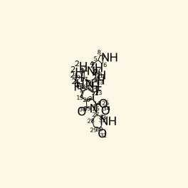 [2H]C1([2H])N(CC2CNC2)C([2H])([2H])C([2H])([2H])N(c2c(F)cc3c(c2F)C(=O)N(C2CCC(=O)NC2=O)C3=O)C1([2H])[2H]